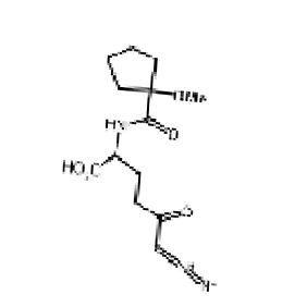 COC1(C(=O)NC(CCC(=O)C=[N+]=[N-])C(=O)O)CCCC1